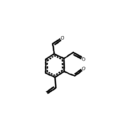 C=Cc1ccc(C=O)c(C=O)c1C=O